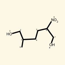 CC(CO)CCC(CO)[N+](=O)[O-]